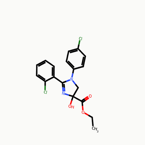 CCOC(=O)C1(O)CN(c2ccc(Cl)cc2)C(c2ccccc2Cl)=N1